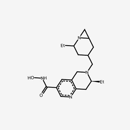 CCC1CC(CN2Cc3cc(C(=O)NO)cnc3C[C@@H]2CC)CC2CN12